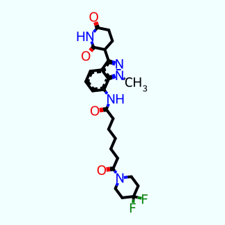 Cn1nc(C2CCC(=O)NC2=O)c2cccc(NC(=O)CCCCCC(=O)N3CCC(F)(F)CC3)c21